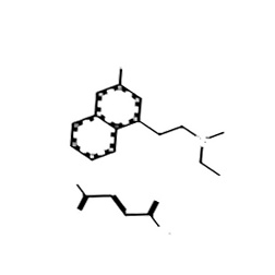 CCN(C)CCc1cc(O)cc2ccccc12.O=C(O)/C=C/C(=O)O